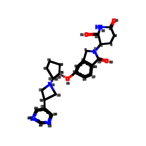 O=C1CCC(N2Cc3cc(O[C@H]4CCC[C@H]4N4CC(c5cncnc5)C4)ccc3C2=O)C(=O)N1